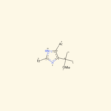 CCc1nc(C(C)(C)OC)c(C(C)=O)[nH]1